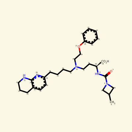 CC1CN(C(=O)N[C@@H](CCN(CCCCc2ccc3c(n2)NCCC3)CCOc2ccccc2)C(=O)O)C1